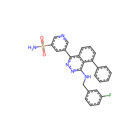 NS(=O)(=O)c1cncc(-c2nnc(NCc3cccc(F)c3)c3c(-c4ccccc4)cccc23)c1